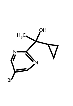 CC(O)(c1ncc(Br)cn1)C1CC1